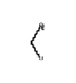 O=[C]CCCCCCC/C=C\CCCCCCCC[N+](=O)[O-]